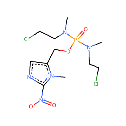 CN(CCCl)P(=O)(OCc1cnc([N+](=O)[O-])n1C)N(C)CCCl